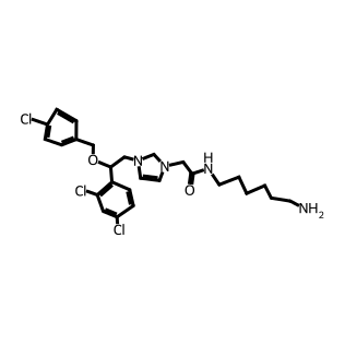 NCCCCCCNC(=O)CN1C=CN(CC(OCc2ccc(Cl)cc2)c2ccc(Cl)cc2Cl)C1